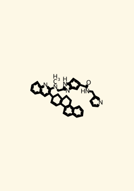 CN(Cc1nc2cc(C(=O)NCc3cccnc3)ccc2[nH]1)c1nc2ccccc2cc1C1C=CC2=C(CCc3c2ccc2ccccc32)C1